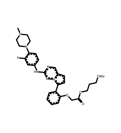 COCCCOC(=O)COc1ccccc1-c1ccc2cnc(Nc3ccc(N4CCN(C)CC4)c(F)c3)nn12